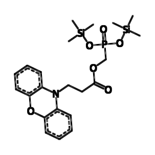 C[Si](C)(C)OP(=O)(COC(=O)CCN1c2ccccc2Oc2ccccc21)O[Si](C)(C)C